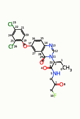 CC[C@@H](C(=O)NCC(=O)CF)n1cnc2ccc(Oc3ccc(Cl)cc3Cl)cc2c1=O